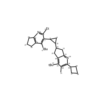 CCc1nc2c(c(C(C)(C)C)c1C1CC1C1Cc3nc(C4CCC4)c(C)c(C(C)(C)C)c3C1)CCC2